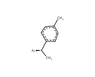 CC(=O)[C@H](C)c1ccc(C)cc1